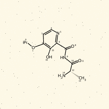 CC(C)Oc1ccnc(C(=O)NC(=O)[C@H](C)N)c1O